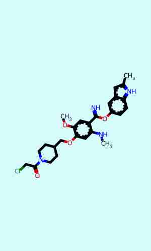 CNc1cc(OCC2CCN(C(=O)CCl)CC2)c(OC)cc1C(=N)Oc1ccc2[nH]c(C)cc2c1